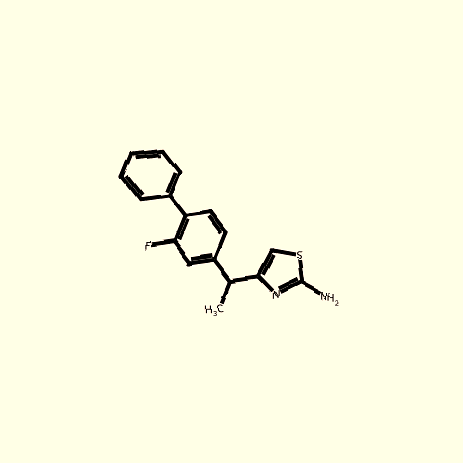 CC(c1ccc(-c2ccccc2)c(F)c1)c1csc(N)n1